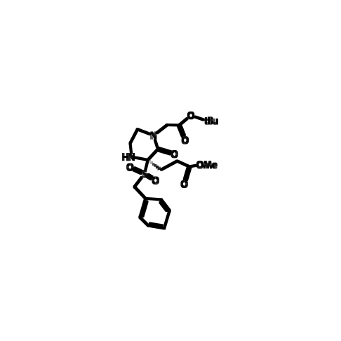 COC(=O)CC[C@]1(S(=O)(=O)Cc2ccccc2)NCCN(CC(=O)OC(C)(C)C)C1=O